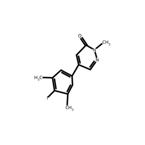 Cc1cc(-c2cnn(C)c(=O)c2)cc(C)c1I